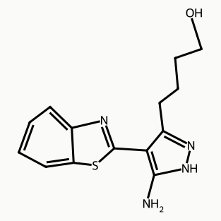 Nc1[nH]nc(CCCCO)c1-c1nc2ccccc2s1